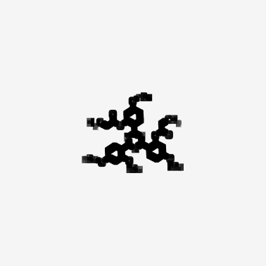 C=CC(=O)Oc1cc(OCCCC)ccc1-c1nc(-c2ccc(OCCCC)cc2OCCCC)nc(-c2ccc(OCCCC)cc2OC(=O)C=C)n1